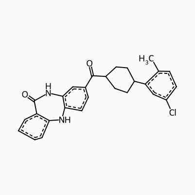 Cc1ccc(Cl)cc1C1CCC(C(=O)c2ccc3c(c2)NC(=O)c2ccccc2N3)CC1